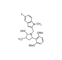 COc1cccc(OC)c1C1CC(C)C(C=O)N1Cc1cc2cc(F)ccc2n1C